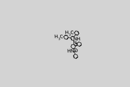 CC1C=CC(C2=CC(n3c4c(c5c3CCC3=C5OC(C5C=CC=CC5)N3)C=CCC4)NC(C3=CC=CCC3C)=C2)=CC1